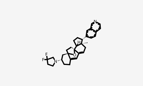 C[C@]12CC=C3C=C4CC[C@H](N5CCC(F)(F)C5)C[C@]45CC[C@]3(O5)[C@@H]1CC[C@@H]2c1ccc2ccncc2c1